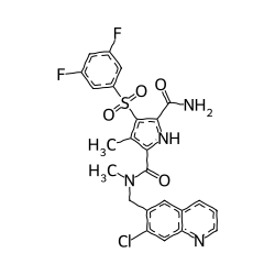 Cc1c(C(=O)N(C)Cc2cc3cccnc3cc2Cl)[nH]c(C(N)=O)c1S(=O)(=O)c1cc(F)cc(F)c1